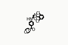 O=C(c1ccc(Nc2cnc(-c3c(Cl)cccc3Cl)o2)cc1)N1CCOCC1